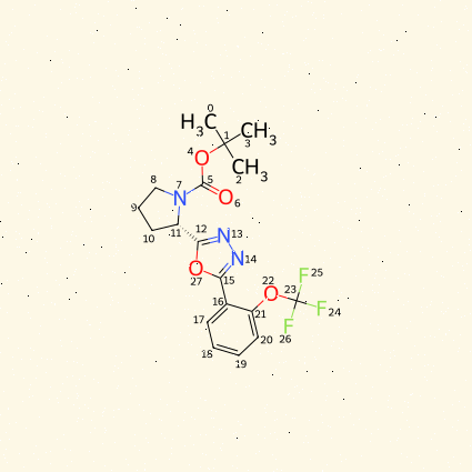 CC(C)(C)OC(=O)N1CCC[C@H]1c1nnc(-c2ccccc2OC(F)(F)F)o1